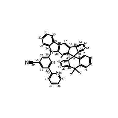 CC1(C)c2ccccc2C2(c3ccccc3-c3cc4c5ccccc5n(-c5cc(C#N)cc(-c6ccccn6)c5)c4cc32)c2ccccc21